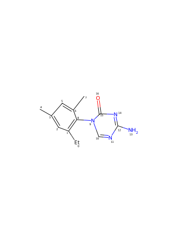 CCc1cc(C)cc(C)c1-n1cnc(N)nc1=O